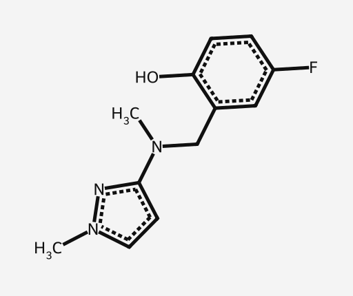 CN(Cc1cc(F)ccc1O)c1ccn(C)n1